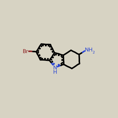 NC1CCc2[nH]c3cc(Br)ccc3c2C1